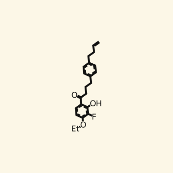 C=CCCc1ccc(CCCC(=O)c2ccc(OCC)c(F)c2O)cc1